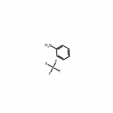 F[B-](F)(F)F.[SH2+]c1ccccc1